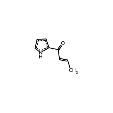 C/C=C/C(=O)c1ccc[nH]1